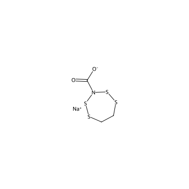 O=C([O-])N1SSCCSS1.[Na+]